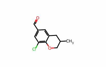 CC1COc2c(Cl)cc(C=O)cc2C1